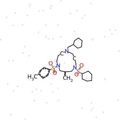 C=C1CN(S(=O)(=O)c2ccc(C)cc2)CCCN(CC2CCCCC2)CCCN(S(=O)(=O)C2CCCCC2)C1